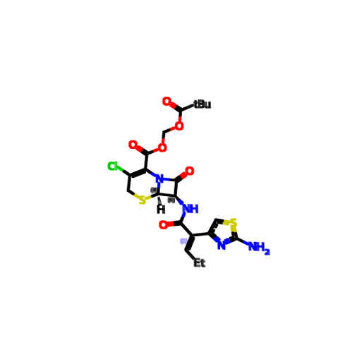 CC/C=C(/C(=O)N[C@@H]1C(=O)N2C(C(=O)OCOC(=O)C(C)(C)C)=C(Cl)CS[C@H]12)c1csc(N)n1